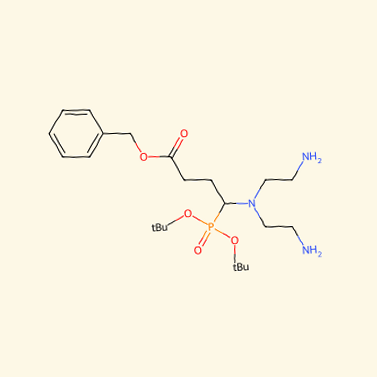 CC(C)(C)OP(=O)(OC(C)(C)C)C(CCC(=O)OCc1ccccc1)N(CCN)CCN